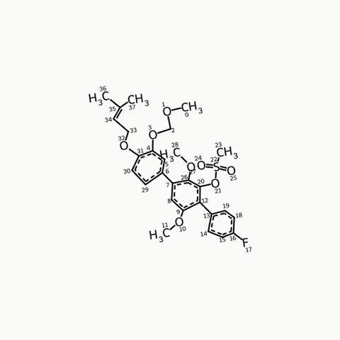 COCOc1cc(-c2cc(OC)c(-c3ccc(F)cc3)c(OS(C)(=O)=O)c2OC)ccc1OCC=C(C)C